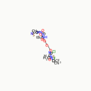 Cc1ncsc1-c1ccc(CNC(=O)[C@@H]2CCCN2C(=O)[C@@H](NC(=O)COCCCOCCCCOc2ncc(N3C(=S)N(c4ccc(C#N)c(C(F)(F)F)c4F)C(=O)C3(C)C)cc2Cl)C(C)(C)C)cc1